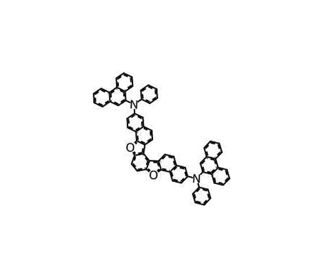 c1ccc(N(c2ccc3c(ccc4c3oc3ccc5oc6c7ccc(N(c8ccccc8)c8cc9ccccc9c9ccccc89)cc7ccc6c5c34)c2)c2cc3ccccc3c3ccccc23)cc1